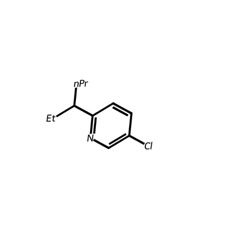 CCCC(CC)c1ccc(Cl)cn1